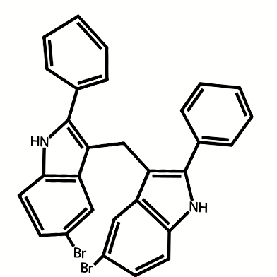 Brc1ccc2[nH]c(-c3ccccc3)c(Cc3c(-c4ccccc4)[nH]c4ccc(Br)cc34)c2c1